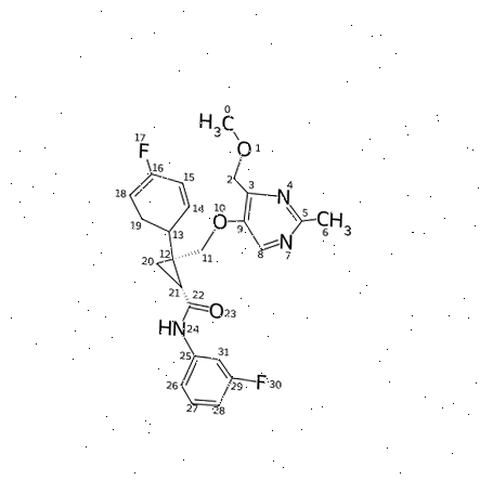 COCc1nc(C)ncc1OC[C@@]1(C2C=CC(F)=CC2)C[C@H]1C(=O)Nc1cccc(F)c1